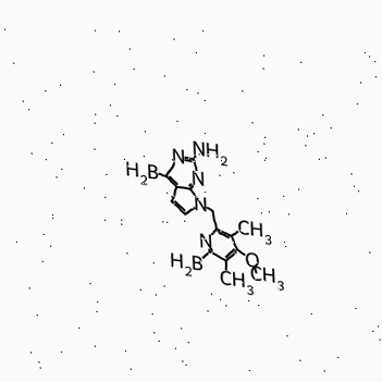 Bc1nc(Cn2ccc3c(B)nc(N)nc32)c(C)c(OC)c1C